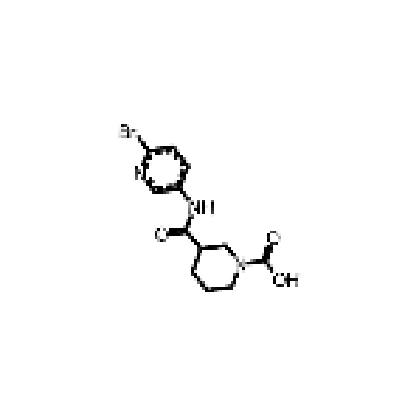 O=C(Nc1ccc(Br)nc1)C1CCCN(C(=O)O)C1